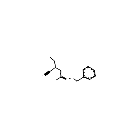 CCC(C#N)CC(C)=NOCc1ccccc1